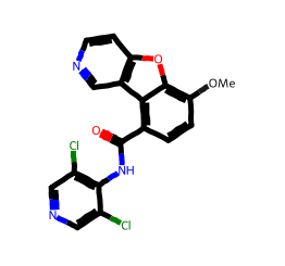 COc1ccc(C(=O)Nc2c(Cl)cncc2Cl)c2c1oc1ccncc12